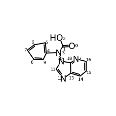 O=C(O)N(c1ccccc1)n1cnc2cccnc21